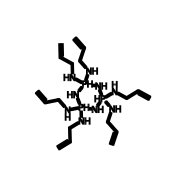 C=CCN[PH]1(NCC=C)N[PH](NCC=C)(NCC=C)N[PH](NCC=C)(NCC=C)N1